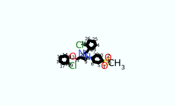 CS(=O)(=O)c1ccc(-n2cc(COc3ccccc3Cl)nc2-c2ccccc2Cl)cc1